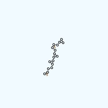 c1cc(-c2cccc(-c3ccc4c5ccc(-c6ccc7c8ccc(-c9cccc(-c%10cccc%11c%10sc%10c(-c%12cccc(-c%13ccc%14c%15ccccc%15c%15ccccc%15c%14c%13)c%12)cccc%10%11)c9)cc8c8ccccc8c7c6)cc5c5ccccc5c4c3)c2)cc(-c2ccc3sc4ccccc4c3c2)c1